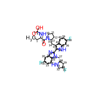 CCC(NC(=O)O)C(=O)N1CCC[C@H]1Cc1c(-c2nc3cc(F)ccc3n2C[C@@H]2C[C@H](F)CN2)[nH]c2cc(F)ccc12